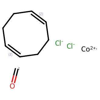 C1=C\CC/C=C\CC/1.[C]=O.[Cl-].[Cl-].[Co+2]